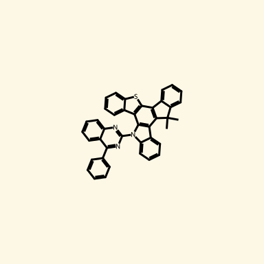 CC1(C)c2ccccc2-c2c1c1c3ccccc3n(-c3nc(-c4ccccc4)c4ccccc4n3)c1c1c2sc2ccccc21